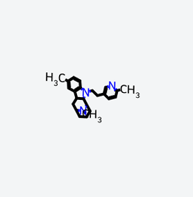 Cc1ccc2c(c1)C1CC3CCCC(C1N2CCc1ccc(C)nc1)N3C